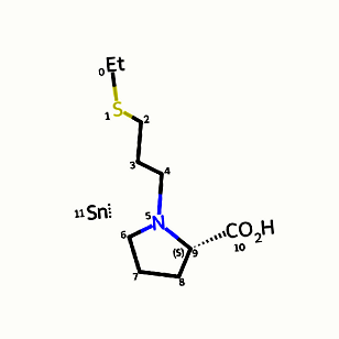 CCSCCCN1CCC[C@H]1C(=O)O.[Sn]